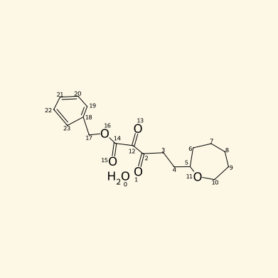 O.O=C(CCC1CCCCCO1)C(=O)C(=O)OCc1ccccc1